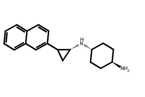 N[C@H]1CC[C@H](N[C@@H]2CC2c2ccc3ccccc3c2)CC1